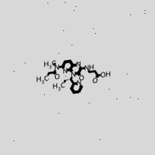 CCC(=O)N(C)c1ccc2nc(NCCC(=O)O)c(=O)n([C@@H](CC)c3ccccn3)c2n1